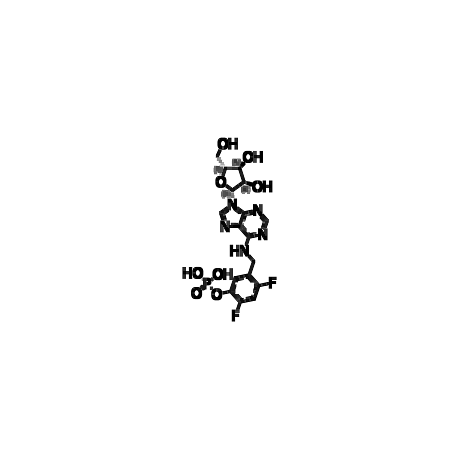 O=P(O)(O)Oc1cc(CNc2ncnc3c2ncn3[C@@H]2O[C@H](CO)[C@@H](O)[C@H]2O)c(F)cc1F